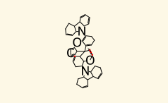 C1=CC2OC3C(N4C5CCC=CC5C5C=CCCC54)CC=CC3C3(C4=CCCC(N5C6C=CC=CC6C6CCC=CC65)=C4OC4CCC=CC43)C2C=C1